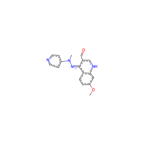 COc1ccc2/c(=N/N(C)c3ccncc3)c(C=O)c[nH]c2c1